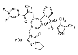 CCCCC1=NC2(CCCC2)C(=O)N1Cc1ccc(-c2ccccc2S(=O)(=O)Nc2onc(C)c2C)c(CN(C)C(=O)c2ccc(F)c(F)c2)c1